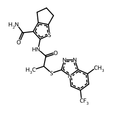 Cc1cc(C(F)(F)F)cn2c(SC(C)C(=O)Nc3sc4c(c3C(N)=O)CCC4)nnc12